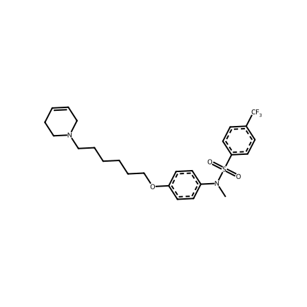 CN(c1ccc(OCCCCCCN2CC=CCC2)cc1)S(=O)(=O)c1ccc(C(F)(F)F)cc1